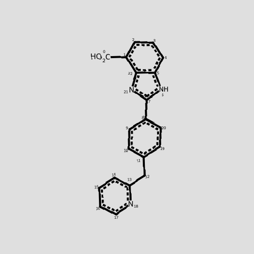 O=C(O)c1cccc2[nH]c(-c3ccc(Cc4ccccn4)cc3)nc12